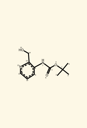 CC(C)(C)OC(=O)Nc1cccnc1CO